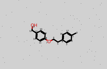 Cc1ccc(CCOc2ccc(CO)cc2)cc1